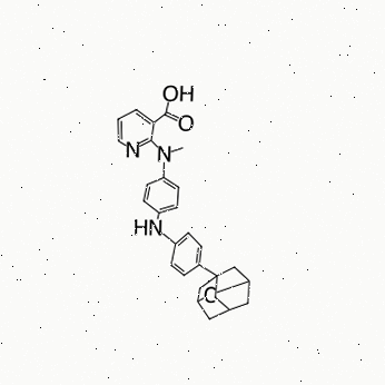 CN(c1ccc(Nc2ccc(C34CC5CC(CC(C5)C3)C4)cc2)cc1)c1ncccc1C(=O)O